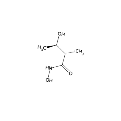 C[C@H](C(=O)NO)[C@@H](C)O